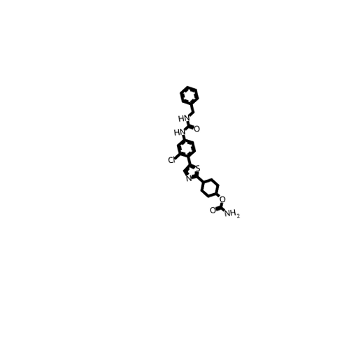 NC(=O)OC1CCC(c2ncc(-c3ccc(NC(=O)NCc4ccccc4)cc3Cl)s2)CC1